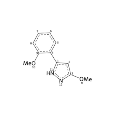 COc1cc(-c2ccccc2OC)[nH]n1